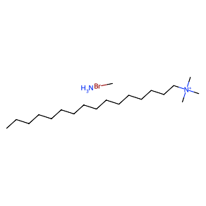 CBr.CCCCCCCCCCCCCCCC[N+](C)(C)C.N